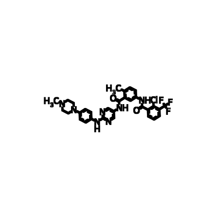 Cc1ccc(NC(=O)c2cccc(C(F)(F)F)c2Cl)cc1C(=O)Nc1cnc(Nc2ccc(N3CCN(C)CC3)cc2)nc1